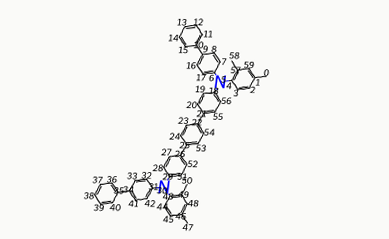 Cc1ccc(N(c2ccc(-c3ccccc3)cc2)c2ccc(-c3ccc(-c4ccc(N(c5ccc(-c6ccccc6)cc5)c5ccc(C)cc5C)cc4)cc3)cc2)c(C)c1